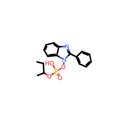 CCC(C)OP(=O)(O)On1c(-c2ccccc2)nc2ccccc21